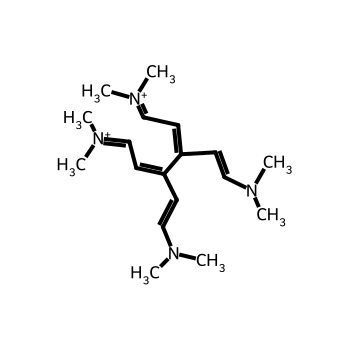 CN(C)/C=C/C(=C/C=[N+](C)C)C(=C\C=[N+](C)C)/C=C/N(C)C